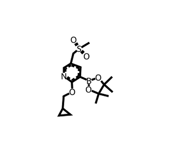 CC1(C)OB(c2cc(CS(C)(=O)=O)cnc2OCC2CC2)OC1(C)C